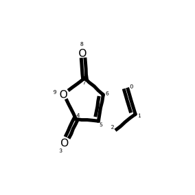 C=CC.O=C1C=CC(=O)O1